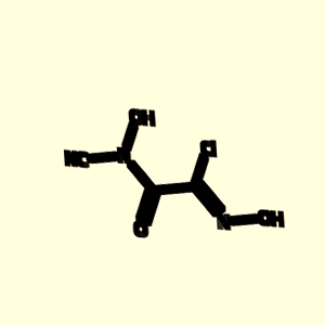 N#CN(O)C(=O)C(Cl)=NO